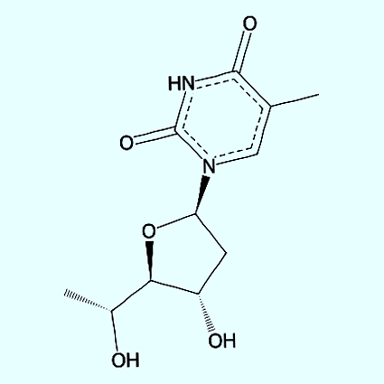 Cc1cn([C@H]2C[C@H](O)[C@@H]([C@@H](C)O)O2)c(=O)[nH]c1=O